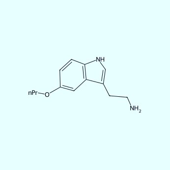 CCCOc1ccc2[nH]cc(CCN)c2c1